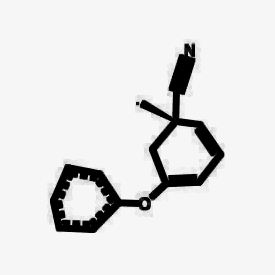 [CH2][C@@]1(C#N)C=CC=C(Oc2ccccc2)C1